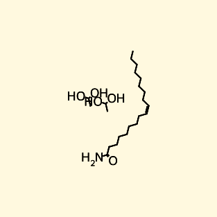 CC(O)O.CC(O)O.CCCCCCCC/C=C\CCCCCCCC(N)=O